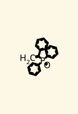 C=C(c1ccccc1)P(=O)(c1ccccc1)c1ccccc1